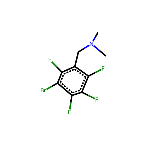 CN(C)Cc1c(F)c(F)c(F)c(Br)c1F